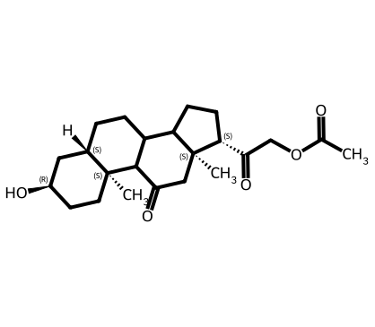 CC(=O)OCC(=O)[C@H]1CCC2C3CC[C@H]4C[C@H](O)CC[C@]4(C)C3C(=O)C[C@@]21C